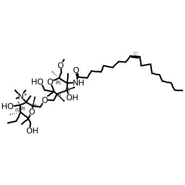 CCCCCCCC/C=C\CCCCCCCC(=O)NC1(C)[C@](C)(O)[C@](C)(COC[C@]2(C)OC(C)(CO)[C@@](C)(CC)[C@@](C)(O)C2(C)[N+](C)(C)C)C(C)(CO)O[C@@]1(C)COC